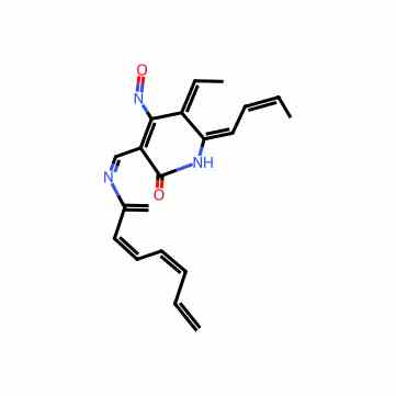 C=C/C=C\C=C/C(=C)/N=C\c1c(N=O)c(=C/C)/c(=C\C=C/C)[nH]c1=O